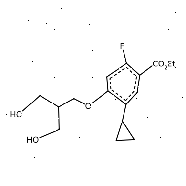 CCOC(=O)c1cc(C2CC2)c(OCC(CO)CO)cc1F